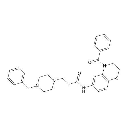 O=C(CCN1CCN(Cc2ccccc2)CC1)Nc1ccc2c(c1)N(C(=O)c1ccccc1)CCS2